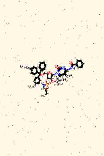 COc1ccc(C(OC[C@H]2O[C@@H](n3cc(C)c(NC(=O)c4ccccc4)nc3=O)[C@H](O[Si](C)(C)C(C)(C)C)[C@@H]2OP(=O)(OCCC#N)N(C(C)C)C(C)C)(c2ccccc2)c2ccc(OC)cc2)cc1